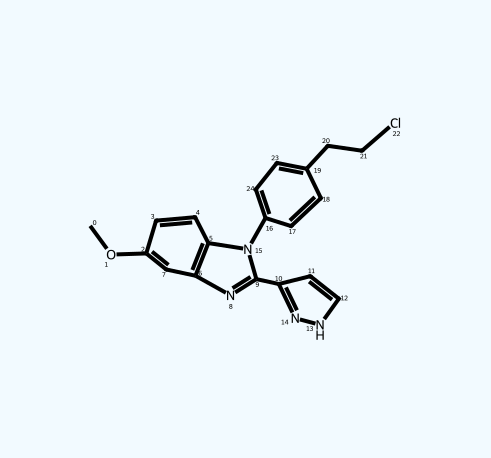 COc1ccc2c(c1)nc(-c1cc[nH]n1)n2-c1ccc(CCCl)cc1